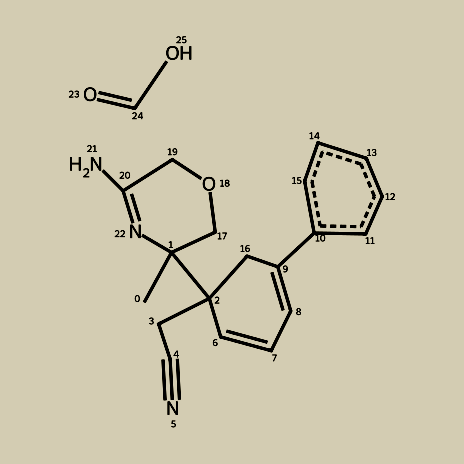 CC1(C2(CC#N)C=CC=C(c3ccccc3)C2)COCC(N)=N1.O=CO